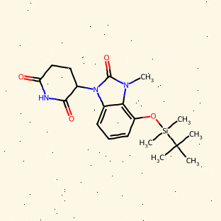 Cn1c(=O)n(C2CCC(=O)NC2=O)c2cccc(O[Si](C)(C)C(C)(C)C)c21